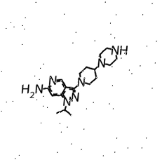 CC(C)n1nc(N2CCC(N3CCNCC3)CC2)c2cnc(N)cc21